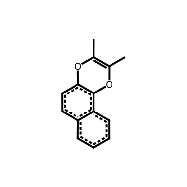 CC1=C(C)Oc2c(ccc3ccccc23)O1